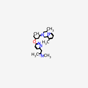 CCCN(CCC(CC)Oc1ccc(C/C(C)=N\C)nn1)Cc1ncccc1C